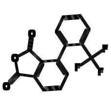 O=C1OC(=O)c2c1cccc2-c1ccccc1C(F)(F)F